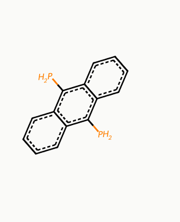 Pc1c2ccccc2c(P)c2ccccc12